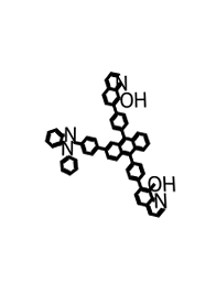 Oc1c(-c2ccc(-c3c4ccccc4c(-c4ccc(-c5ccc6cccnc6c5O)cc4)c4cc(-c5ccc(-c6nc7ccccc7n6-c6ccccc6)cc5)ccc34)cc2)ccc2cccnc12